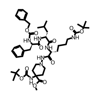 COC(=O)C1(NC(=O)OC(C)(C)C)CCN(NC(=O)[C@@H](CCCCNC(=O)OC(C)(C)C)NC(=O)[C@@H](CC(C)C)NC(=O)[C@@H](Cc2ccccc2)NC(=O)OCc2ccccc2)CC1